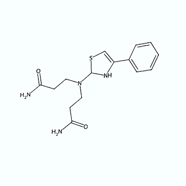 NC(=O)CCN(CCC(N)=O)C1NC(c2ccccc2)=CS1